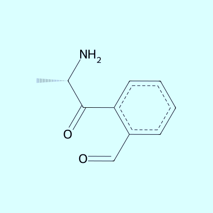 C[C@H](N)C(=O)c1ccccc1C=O